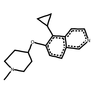 CN1CCC(Oc2ccc3cnccc3c2C2CC2)CC1